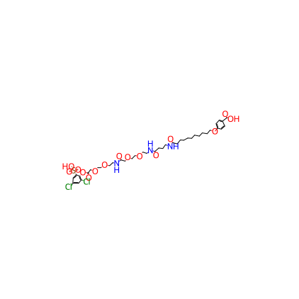 O=C(CCCCCCCCCCOc1ccc(C(=O)O)cc1)NCCCC(=O)NCCOCCOCC(=O)NCCOCCOCC(=O)Oc1c(Cl)cc(Cl)cc1S(=O)(=O)O